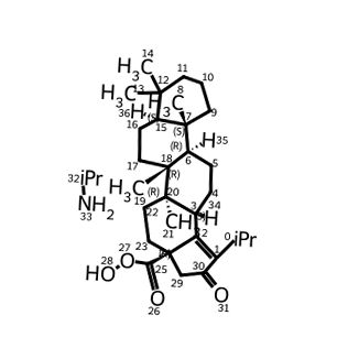 CC(C)C1=C2[C@H]3CC[C@@H]4[C@@]5(C)CCCC(C)(C)[C@@H]5CC[C@@]4(C)[C@]3(C)CC[C@@]2(C(=O)OO)CC1=O.CC(C)N